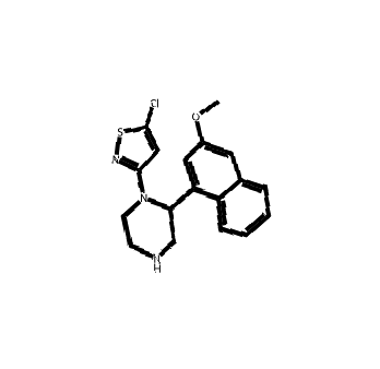 COc1cc(C2CNCCN2c2cc(Cl)sn2)c2ccccc2c1